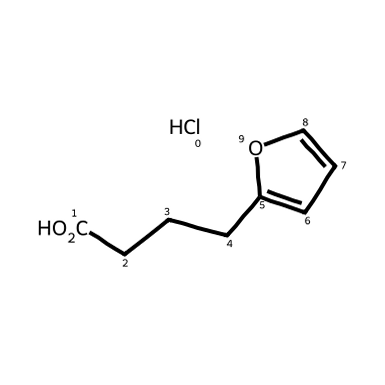 Cl.O=C(O)CCCc1ccco1